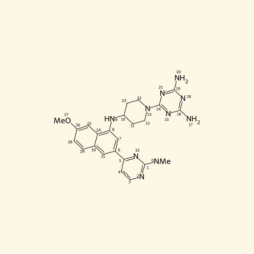 CNc1nccc(-c2cc(NC3CCN(c4nc(N)nc(N)n4)CC3)c3cc(OC)ccc3c2)n1